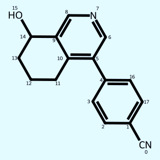 N#Cc1ccc(-c2cncc3c2CCCC3O)cc1